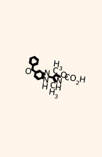 Cc1[nH]c(OC(=O)O)c(C)c1-c1nc2cc(C(=O)c3ccccc3)ccc2[nH]1